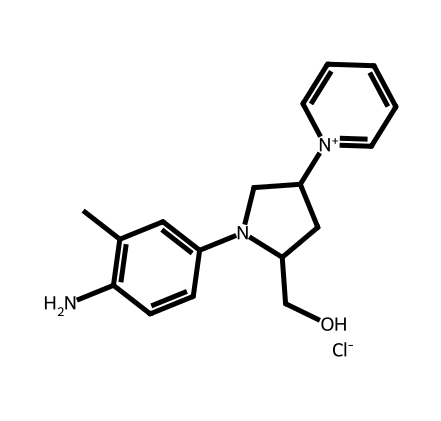 Cc1cc(N2CC([n+]3ccccc3)CC2CO)ccc1N.[Cl-]